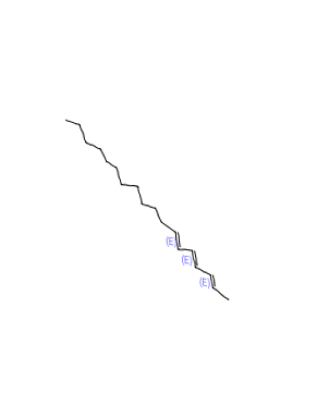 C/C=C/C=C/C=C/CCCCCCCCCCC